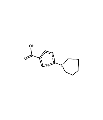 O=C(O)c1cnc(N2CCCCC2)nc1